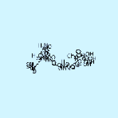 CSC1CC(=O)N(CCCCCC(=O)NC(C(=O)NC(CCCNC(N)=O)C(=O)Nc2ccc(COC(=O)NCC(=O)Nc3ccc4[nH]c(C(=O)N5CC(CCl)c6c5cc(OC5OC(CO)C(O)C(O)C5O)c5ccccc65)cc4c3)cc2)C(C)C)C1=O